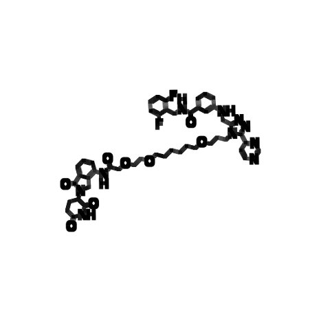 O=C1CCC(N2Cc3c(NC(=O)COCCOCCCCCCOCCCn4c(CNc5cccc(C(=O)NCc6c(F)cccc6F)c5)nnc4-c4ccncn4)cccc3C2=O)C(=O)N1